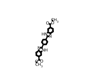 COC(=O)c1ccc2nc(-c3ccc(-c4nc5ccc(C(=O)OC)cc5[nH]4)cc3)[nH]c2c1